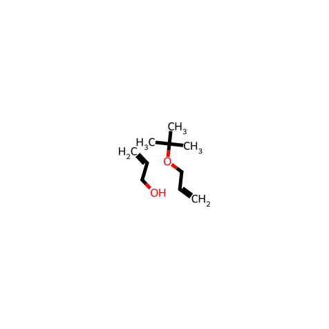 C=CCO.C=CCOC(C)(C)C